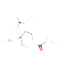 CC(C)(C)OC(=O)NC1(C=O)CCN(C(=O)OC(C)(C)C)CC1